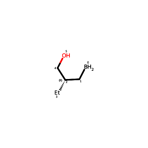 BC[C@H](CC)CO